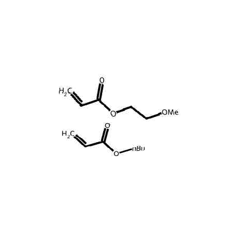 C=CC(=O)OCCCC.C=CC(=O)OCCOC